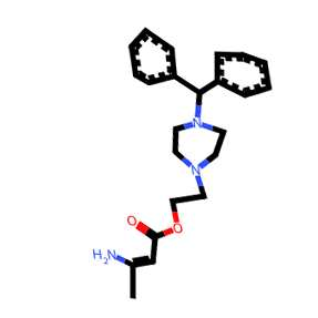 CC(N)=CC(=O)OCCN1CCN(C(c2ccccc2)c2ccccc2)CC1